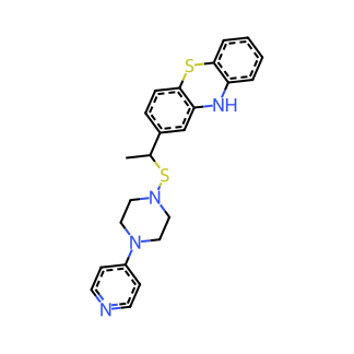 CC(SN1CCN(c2ccncc2)CC1)c1ccc2c(c1)Nc1ccccc1S2